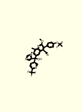 COc1nc2c(C)cc(C(O)(c3ccc(C(F)(F)F)nc3)c3cncn3C)cc2c(C#N)c1-c1ccc(OC(C)(F)F)cc1